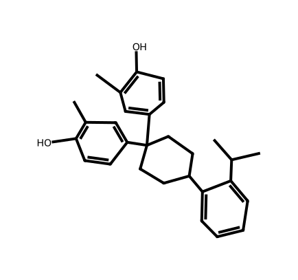 Cc1cc(C2(c3ccc(O)c(C)c3)CCC(c3ccccc3C(C)C)CC2)ccc1O